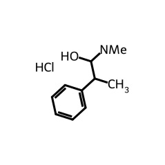 CNC(O)C(C)c1ccccc1.Cl